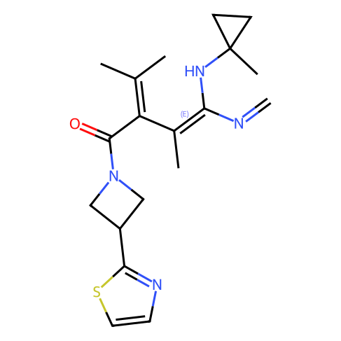 C=N/C(NC1(C)CC1)=C(\C)C(C(=O)N1CC(c2nccs2)C1)=C(C)C